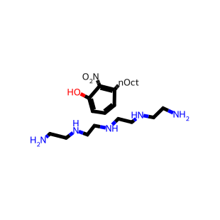 CCCCCCCCc1cccc(O)c1[N+](=O)[O-].NCCNCCNCCNCCN